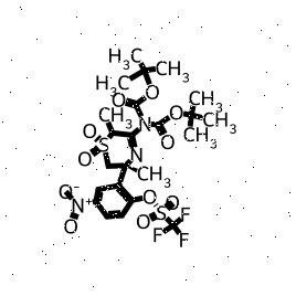 CC1C(N(C(=O)OC(C)(C)C)C(=O)OC(C)(C)C)=N[C@](C)(c2cc([N+](=O)[O-])ccc2OS(=O)(=O)C(F)(F)F)CS1(=O)=O